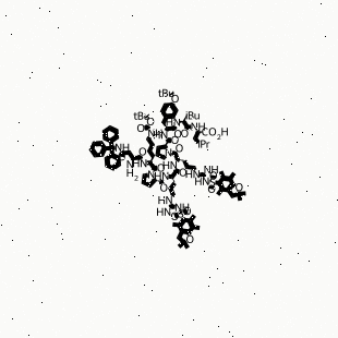 CC[C@H](C)[C@H](NC(=O)[C@H](Cc1ccc(OC(C)(C)C)cc1)NC(=O)[C@@H]1CCCN1C(=O)[C@H](CCCNC(=N)NS(=O)(=O)c1c(C)c(C)c2c(c1C)CC(C)(C)O2)NC(=O)[C@H](CCCNC(=N)NS(=O)(=O)c1c(C)c(C)c2c(c1C)CC(C)(C)O2)NC(=O)[C@@H]1CCCN1C(=O)[C@H](CCCCNC(=O)OC(C)(C)C)NC(=O)[C@@H](N)CC(=O)NC(c1ccccc1)(c1ccccc1)c1ccccc1)C(=O)N[C@@H](CC(C)C)C(=O)O